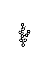 c1ccc(-n2c3ccccc3c3c(-c4cc(-c5ccc6oc7ccccc7c6c5)c5oc6c(-c7ccc8oc9ccccc9c8c7)cccc6c5c4)cccc32)cc1